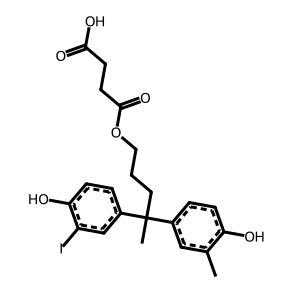 Cc1cc(C(C)(CCCOC(=O)CCC(=O)O)c2ccc(O)c(I)c2)ccc1O